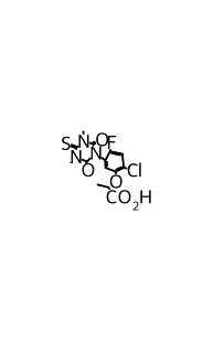 C[C@@H](Oc1cc(-n2c(=O)n(C)c(=S)n(C)c2=O)c(F)cc1Cl)C(=O)O